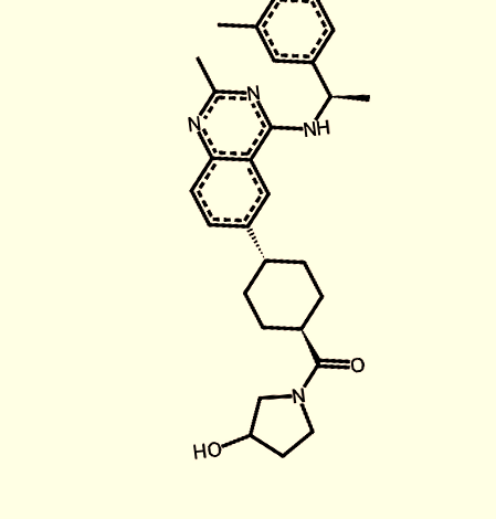 Cc1cccc([C@@H](C)Nc2nc(C)nc3ccc([C@H]4CC[C@H](C(=O)N5CCC(O)C5)CC4)cc23)c1